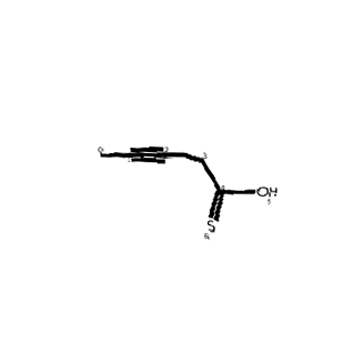 CC#CCC(O)=S